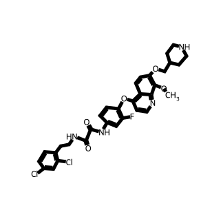 COc1c(OCC2CCNCC2)ccc2c(Oc3ccc(NC(=O)C(=O)NCCc4ccc(Cl)cc4Cl)cc3F)ccnc12